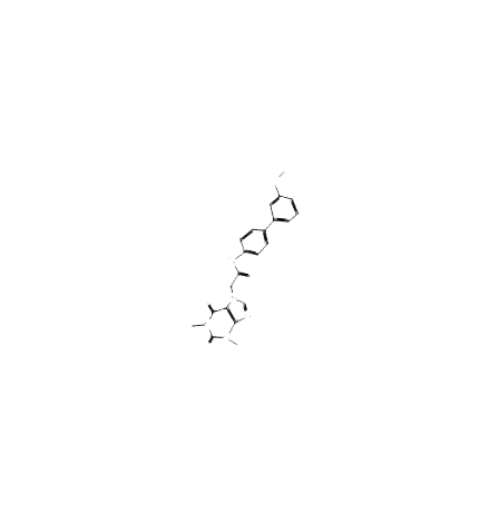 COc1cccc(-c2ccc(NC(=O)Cn3cnc4c3c(=O)n(C)c(=O)n4C)cc2)c1